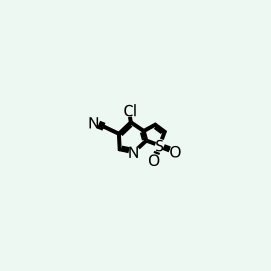 N#Cc1cnc2c(c1Cl)C=CS2(=O)=O